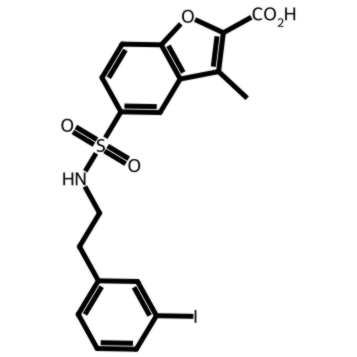 Cc1c(C(=O)O)oc2ccc(S(=O)(=O)NCCc3cccc(I)c3)cc12